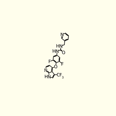 O=C(NCc1cccnc1)Nc1cc(F)c(Oc2ccnc3[nH]cc(C(F)(F)F)c23)c(F)c1